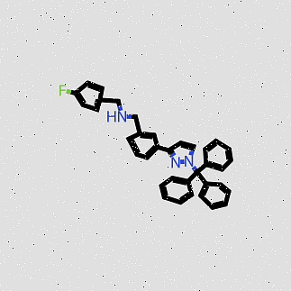 Fc1ccc(CNCc2cccc(-c3ccn(C(c4ccccc4)(c4ccccc4)c4ccccc4)n3)c2)cc1